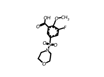 COc1c(F)cc(S(=O)(=O)N2CCOCC2)cc1C(=O)O